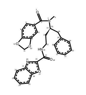 CN(C(=O)c1ccc2c(c1)OCO2)[C@H](CCNC(=O)c1nc2ccccc2o1)Cc1ccccc1